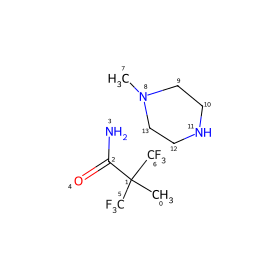 CC(C(N)=O)(C(F)(F)F)C(F)(F)F.CN1CCNCC1